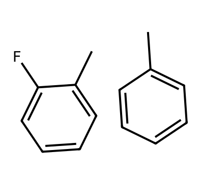 Cc1ccccc1.Cc1ccccc1F